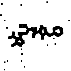 Cc1nsc(NC[C@@H](C=O)NC(=O)c2nnc(Cc3ccccc3)[nH]2)c1N(C)C